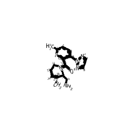 Cc1ccc(-n2nccn2)c(C(=O)N2CCC[C@@H](C)C2CN)n1